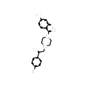 O=C(CN1CCN(c2noc3cc(O)ccc23)CC1)c1ccc(F)cc1